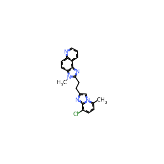 Cc1ccc(Cl)c2nc(CCc3nc4c5cccnc5ccc4n3C)cn12